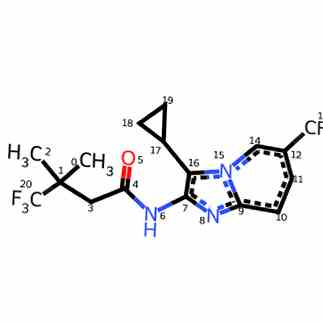 CC(C)(CC(=O)Nc1nc2ccc(C(F)(F)F)cn2c1C1CC1)C(F)(F)F